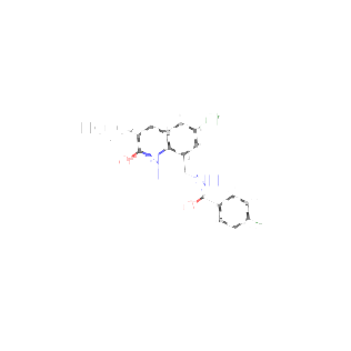 O=C(NCc1cc(Cl)cc2cc(C(=O)O)c(=O)[nH]c12)c1ccc(F)cc1